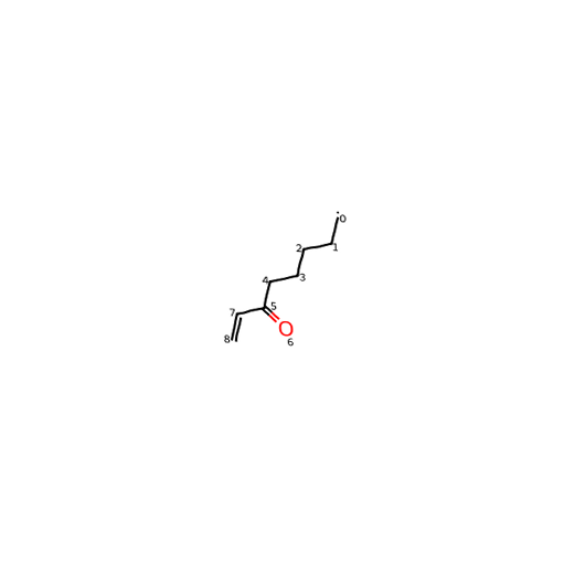 [CH2]CCCCC(=O)C=C